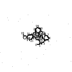 CCN(Cc1ccccn1)C(=O)CN(c1ccc(OC)nc1)S(=O)(=O)C1(O)C=CC=CC1C